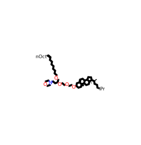 CCCCCCCC/C=C\CCCCCCCCOCC(CCN1CCOCC1)OCCOCCOC1CCC2(C)C(=CCC3C2CC[C@@]2(C)C3CCC2[C@@H](C)CCCC(C)C)C1